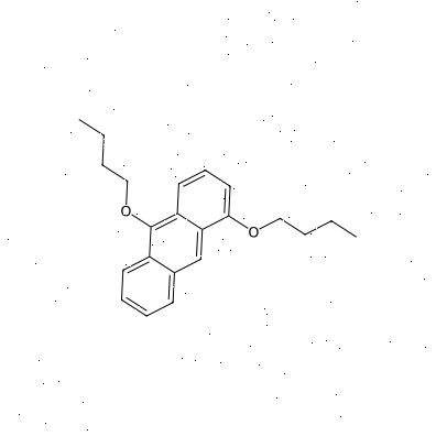 CCCCOc1cccc2c(OCCCC)c3ccccc3cc12